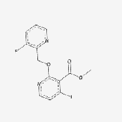 COC(=O)c1c(I)ccnc1OCc1ncccc1F